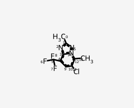 Cc1nc2c(C(F)(F)F)cc(Cl)c(C)n2n1